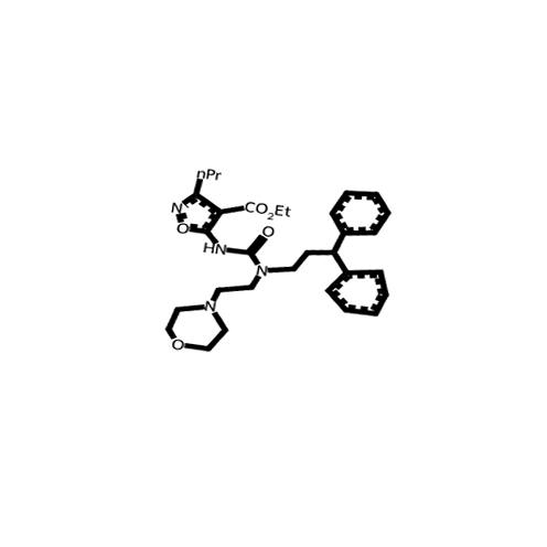 CCCc1noc(NC(=O)N(CCC(c2ccccc2)c2ccccc2)CCN2CCOCC2)c1C(=O)OCC